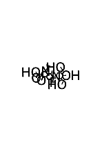 Cc1c(N2CC(CO)C(O)C(CO)C2)c(F)cc2c(=O)c(C(=O)O)cn(C3CC3)c12